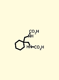 O=C(O)NCC1(CNC(=O)O)CCCCC1